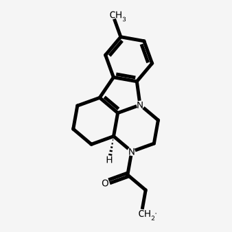 [CH2]CC(=O)N1CCn2c3c(c4cc(C)ccc42)CCC[C@@H]31